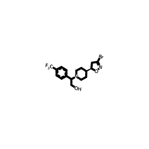 OCC(c1ccc(C(F)(F)F)cc1)N1CCC([C@H]2CC(Br)=NO2)CC1